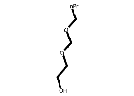 CCCCOCOCCO